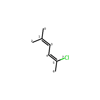 CC(C)=CC=C(C)Cl